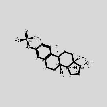 C[C@]12CC[C@@H]3c4ccc(OP(C)(O)=S)cc4CC[C@H]3[C@@H]1CC[C@H]2O